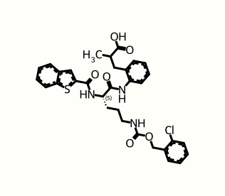 CC(Cc1ccccc1NC(=O)[C@H](CCCNC(=O)OCc1ccccc1Cl)NC(=O)c1cc2ccccc2s1)C(=O)O